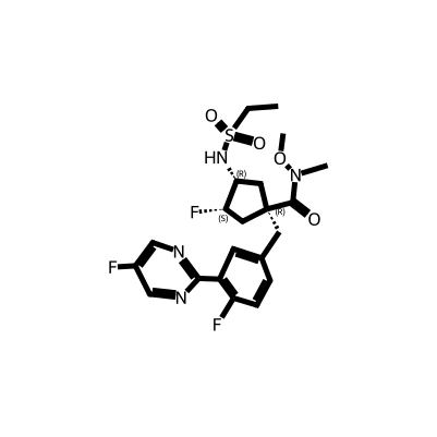 CCS(=O)(=O)N[C@@H]1C[C@@](Cc2ccc(F)c(-c3ncc(F)cn3)c2)(C(=O)N(C)OC)C[C@@H]1F